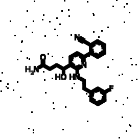 N#Cc1ccccc1-c1ccc(C(O)CCC(N)=O)c(NCCc2cccc(F)c2)n1